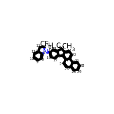 CC1(C)c2cc(N3c4ccccc4CC3C(F)(F)F)ccc2-c2c1ccc1c2ccc2ccccc21